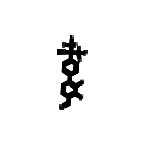 O=Cc1ccc(-c2ccc(C(O)(C(F)(F)F)C(F)(F)F)cc2)c(F)c1F